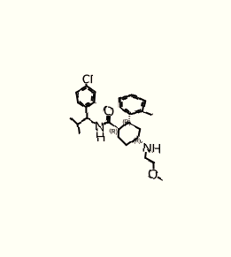 COCCN[C@@H]1CC[C@@H](C(=O)NC(c2ccc(Cl)cc2)C(C)C)[C@H](c2ccccc2C)C1